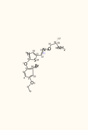 CCOc1ccc(Oc2ncc(/C=N/OC[C@H](C)N)s2)c(Br)c1